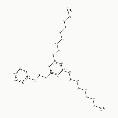 CCCCCCCCCc1cc(CCCCCCCCC)c[n+](CCCc2ccccc2)c1